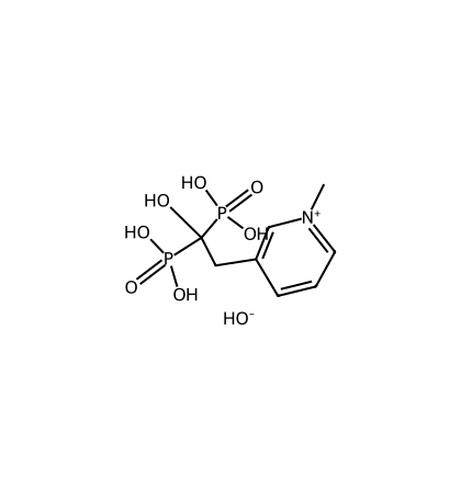 C[n+]1cccc(CC(O)(P(=O)(O)O)P(=O)(O)O)c1.[OH-]